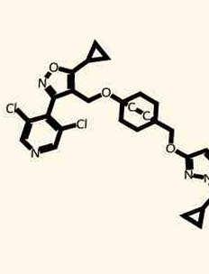 Clc1cncc(Cl)c1-c1noc(C2CC2)c1COC12CCC(COc3ccn(CC4CC4)n3)(CC1)CC2